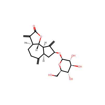 C=C1[C@@H]2[C@H]3OC(=O)C(=C)[C@@H]3CCC(=C)[C@@H]2C[C@@H]1O[C@@H]1O[C@H](CO)[C@@H](O)[C@H](O)[C@H]1O